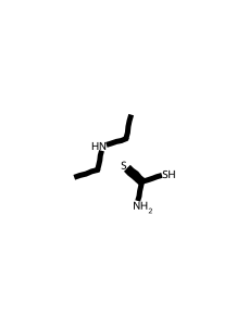 CCNCC.NC(=S)S